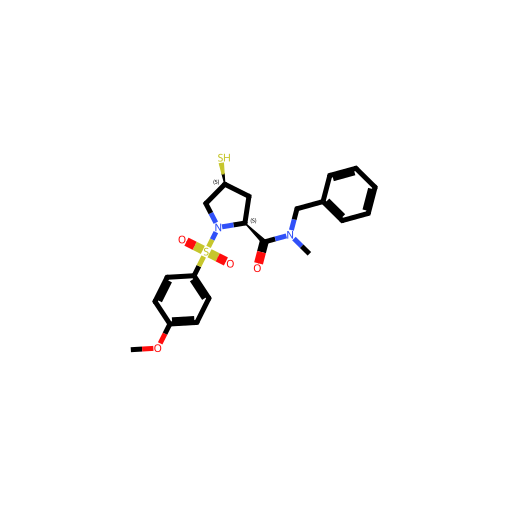 COc1ccc(S(=O)(=O)N2C[C@@H](S)C[C@H]2C(=O)N(C)Cc2ccccc2)cc1